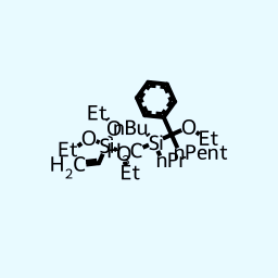 C=C[Si](OCC)(OCC)OCC.CCCCCC(OCC)(c1ccccc1)[Si](C)(CCC)CCCC